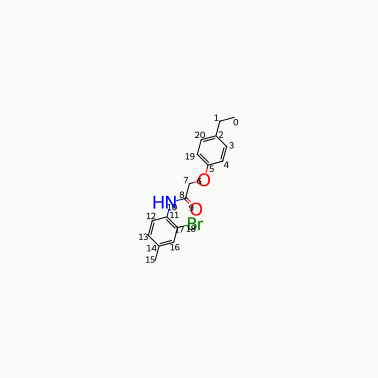 CCc1ccc(OCC(=O)Nc2ccc(C)cc2Br)cc1